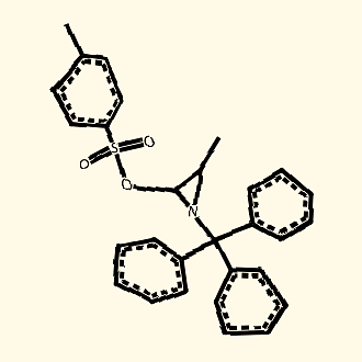 Cc1ccc(S(=O)(=O)OC2C(C)N2C(c2ccccc2)(c2ccccc2)c2ccccc2)cc1